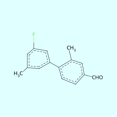 Cc1cc(F)cc(-c2ccc(C=O)cc2C)c1